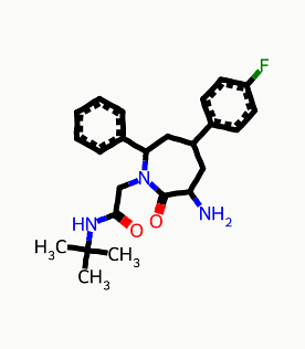 CC(C)(C)NC(=O)CN1C(=O)C(N)CC(c2ccc(F)cc2)CC1c1ccccc1